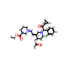 CCOC(=O)C1CCCN(C/C=C2\CN(C(C(=O)C3CC3)c3ccccc3F)CCC2SC(C)=O)C1